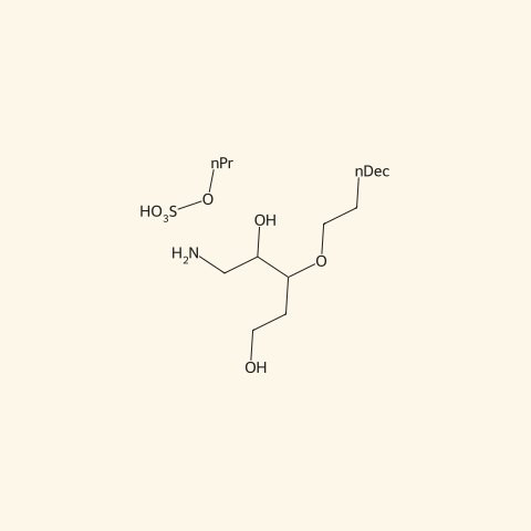 CCCCCCCCCCCCOC(CCO)C(O)CN.CCCOS(=O)(=O)O